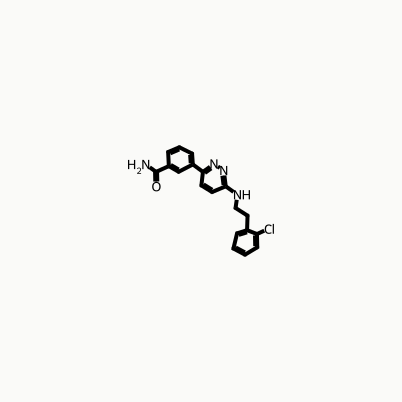 NC(=O)c1cccc(-c2ccc(NCCc3ccccc3Cl)nn2)c1